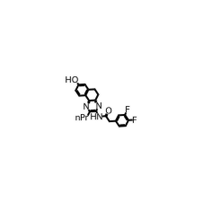 CCCc1nc2c(nc1NC(=O)Cc1ccc(F)c(F)c1)CCc1cc(O)ccc1-2